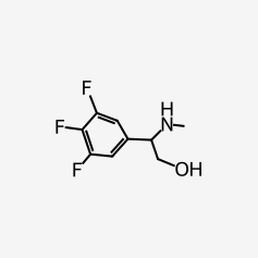 CNC(CO)c1cc(F)c(F)c(F)c1